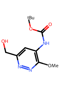 COc1nnc(CO)cc1NC(=O)OC(C)(C)C